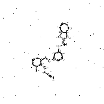 Cc1cccc(COc2cccc(CNc3nc4ccccc4o3)c2)c1OCC#N